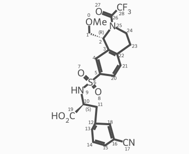 COC[C@H]1c2cc(S(=O)(=O)N[C@@H](Cc3cccc(C#N)c3)C(=O)O)ccc2CCN1C(=O)C(F)(F)F